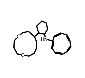 c1ccccc(NC2CCCCC2C2CCCCCCCCCCC2)cccc1